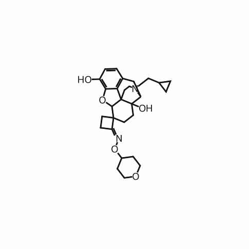 Oc1ccc2c3c1OC1C4(CCC4=NOC4CCOCC4)CCC4(O)C(C2)N(CC2CC2)CCC314